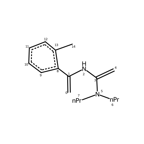 C=C(NC(=C)N(CCC)CCC)c1ccccc1C